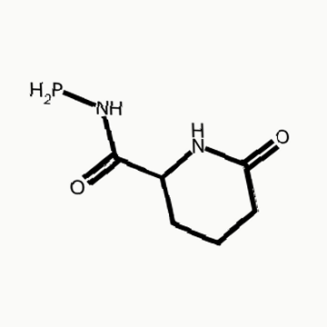 O=C1CCCC(C(=O)NP)N1